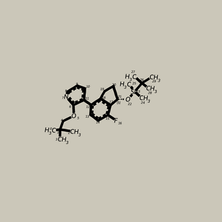 CC(C)(C)COc1ncccc1-c1ccc(F)c2c1CC[C@@H]2O[Si](C)(C)C(C)(C)C